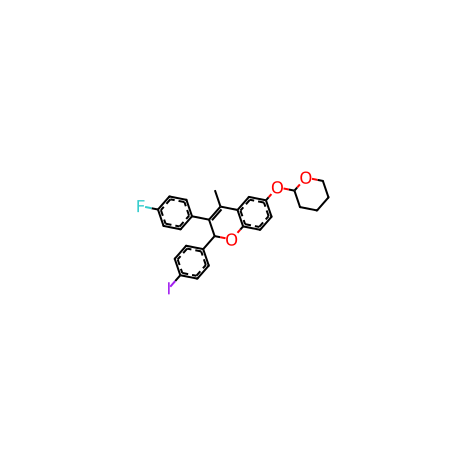 CC1=C(c2ccc(F)cc2)C(c2ccc(I)cc2)Oc2ccc(OC3CCCCO3)cc21